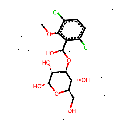 COc1c(Cl)ccc(Cl)c1C(O)O[C@@H]1[C@@H](O)[C@@H](O)O[C@H](CO)[C@H]1O